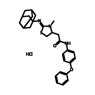 CN1/C(=N/C23CC4CC(CC(C4)C2)C3)SCC1CC(=O)Nc1ccc(Oc2ccccc2)cc1.Cl